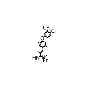 CCN(C)C(=N)C(C)=Cc1cc(C)c(Oc2ccc(Cl)c(C(F)(F)F)c2)cc1C